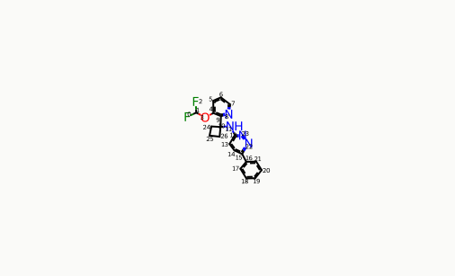 FC(F)Oc1cccnc1C1(Nc2ccc(-c3c[c]ccc3)nn2)CCC1